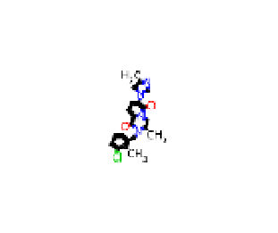 Cc1cn(-c2ccc3n(c2=O)C[C@@H](C)N(Cc2cccc(Cl)c2C)C3=O)cn1